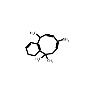 CC1/C=C\C(N)=C/CC(C)(C)C2=C1C=CCC2